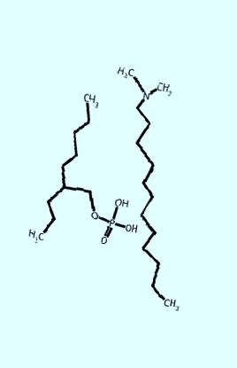 CCCCCC(CCC)COP(=O)(O)O.CCCCCCCCCCCCN(C)C